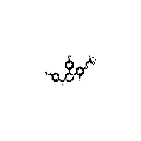 C[C@H](c1ccc(C#N)cc1)N1CCN(c2ccc(OCC(N)=O)cc2Cl)[C@H](c2ccc(Cl)cc2)C1